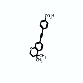 CC1(C)CCSc2cc(C#Cc3ccc(C(=O)O)cc3)ccc21